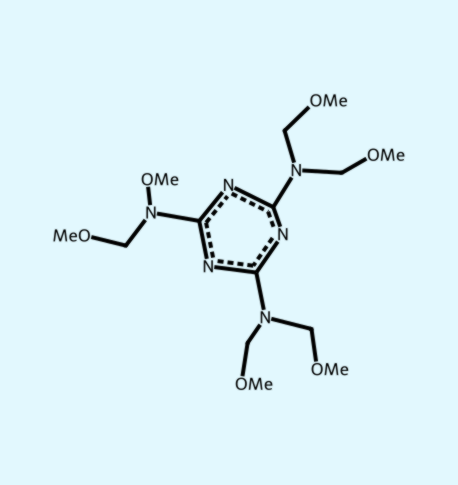 COCN(COC)c1nc(N(COC)COC)nc(N(COC)OC)n1